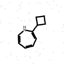 [CH]1CC(C2=CC=CC=CN2)C1